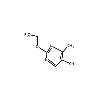 Cc1cnc(OCC(F)(F)F)nc1C